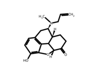 C=CCN(C)[C@@H]1Cc2ccc(O)c3c2C2[C@H]1CCC(=O)[C@@H]2O3